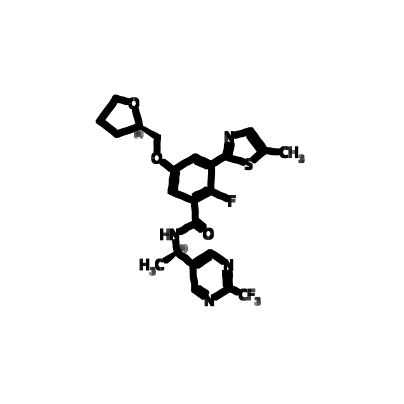 Cc1cnc(-c2cc(OC[C@H]3CCCO3)cc(C(=O)N[C@H](C)c3cnc(C(F)(F)F)nc3)c2F)s1